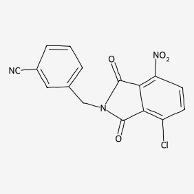 N#Cc1cccc(CN2C(=O)c3c(Cl)ccc([N+](=O)[O-])c3C2=O)c1